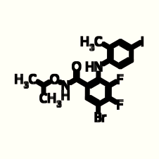 Cc1cc(I)ccc1Nc1c(C(=O)NOC(C)C)cc(Br)c(F)c1F